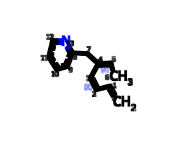 C=C/C=C\C(=C/C)Cc1ccccn1